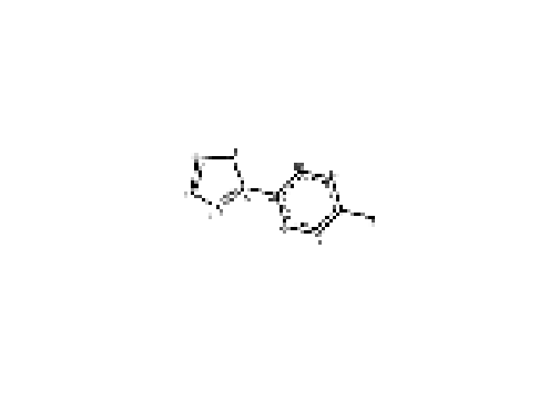 Cc1ccc(C2=NC=CC2)cc1